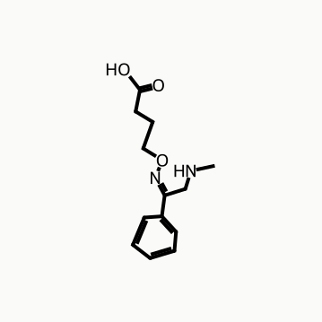 CNCC(=NOCCCC(=O)O)c1ccccc1